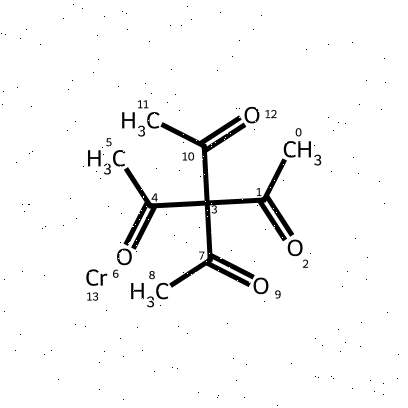 CC(=O)C(C(C)=O)(C(C)=O)C(C)=O.[Cr]